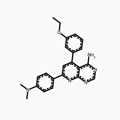 CCOc1cccc(-c2cc(-c3ccc(N(C)C)cc3)nc3ncnc(N)c23)c1